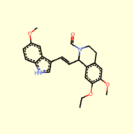 CCOc1cc2c(cc1OC)CCN(C=O)C2/C=C/c1c[nH]c2ccc(OC)cc12